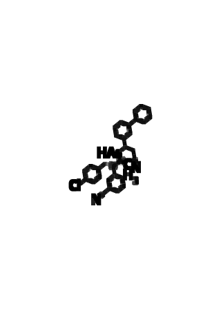 C[C@H]([AsH]C(CC#N)c1cccc(-c2ccccc2)c1)[C@@H](Cc1ccc(Cl)cc1)c1cccc(C#N)c1